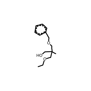 CCOCC(C)(CO)COCc1ccccc1